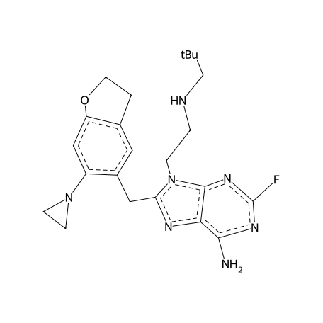 CC(C)(C)CNCCn1c(Cc2cc3c(cc2N2CC2)OCC3)nc2c(N)nc(F)nc21